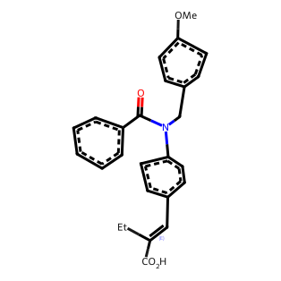 CC/C(=C\c1ccc(N(Cc2ccc(OC)cc2)C(=O)c2ccccc2)cc1)C(=O)O